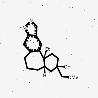 CC[C@@]12CC[C@](O)(COC)C[C@@H]1CCCc1cc3[nH]ncc3cc12